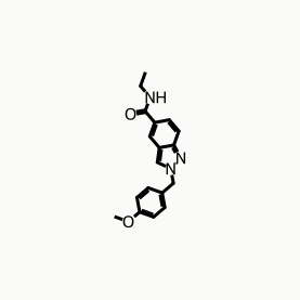 CCNC(=O)c1ccc2nn(Cc3ccc(OC)cc3)cc2c1